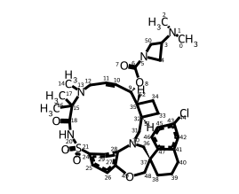 CN(C)C1CN(C(=O)O[C@H]2C=CCN(C)C(C)(C)C(=O)NS(=O)(=O)c3ccc4c(c3)N(C[C@@H]3CC[C@H]32)C[C@@]2(CCCc3cc(Cl)ccc32)CO4)C1